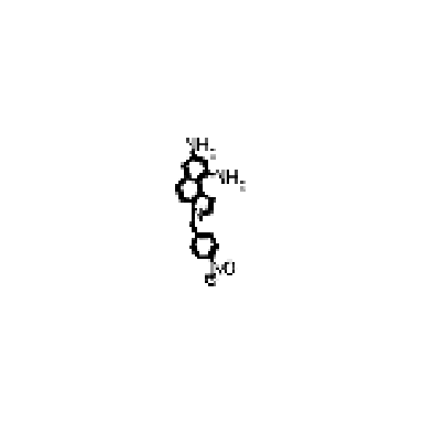 Nc1cc(N)c2c(ccc3c2ccn3Cc2ccc([N+](=O)[O-])cc2)c1